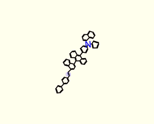 C(=C\c1ccc(-c2c3ccccc3c(-c3ccc(N(c4ccccc4)c4cccc5ccccc45)cc3)c3ccccc23)c2ccccc12)/c1ccc(-c2ccccc2)cc1